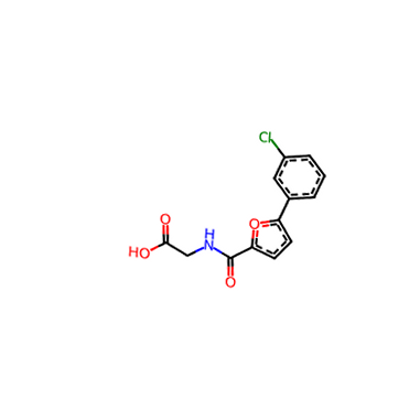 O=C(O)CNC(=O)c1ccc(-c2cccc(Cl)c2)o1